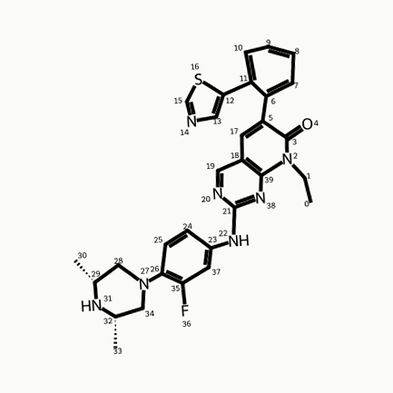 CCn1c(=O)c(-c2ccccc2-c2cncs2)cc2cnc(Nc3ccc(N4C[C@@H](C)N[C@@H](C)C4)c(F)c3)nc21